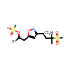 CCC(Cc1cc(CCC(C)(C(=O)O)S(C)(=O)=O)no1)OS(C)(=O)=O